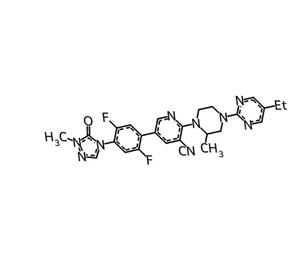 CCc1cnc(N2CCN(c3ncc(-c4cc(F)c(-n5cnn(C)c5=O)cc4F)cc3C#N)C(C)C2)nc1